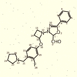 O=CC1OC(c2ccccc2)=NN1N1CCC1Oc1ccc(CN2CCCC2)c(F)c1